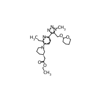 CCOC(=O)C[C@H]1CCCN(c2ccc(-c3nnn(C)c3COC3CCCCO3)nc2CC)C1